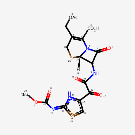 CC(=O)OCC1=C(C(=O)O)N2C(=O)C(NC(=O)C(=O)c3csc(=NC(=O)OC(C)(C)C)[nH]3)[C@@H]2SC1